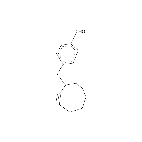 O=Cc1ccc(CC2C#CCCCCC2)cc1